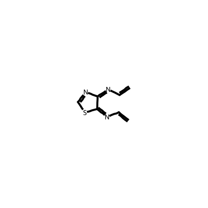 C=C/N=C1/N=CS/C1=N/C=C